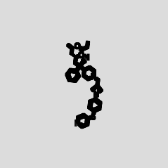 CCC[C@H](CC(C#N)(c1ccccc1)C1CCN(CC2CN(c3ccc(Sc4ccncc4)cc3)C2)CC1)OC(=O)CC